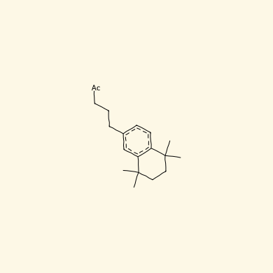 CC(=O)CCCc1ccc2c(c1)C(C)(C)CCC2(C)C